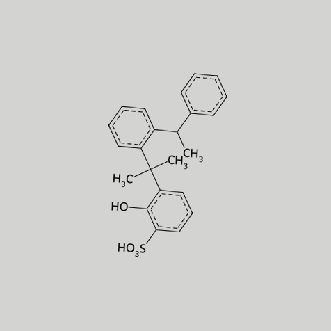 CC(c1ccccc1)c1ccccc1C(C)(C)c1cccc(S(=O)(=O)O)c1O